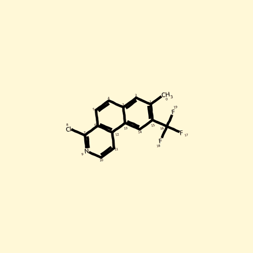 Cc1cc2ccc3c(Cl)nccc3c2cc1C(F)(F)F